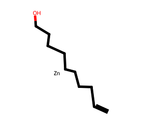 C=CCCCCCCCCO.[Zn]